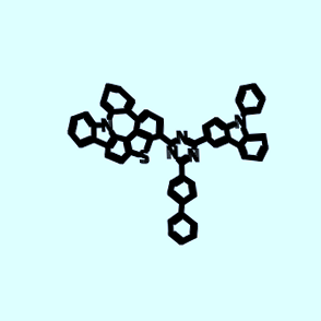 c1ccc(-c2ccc(-c3nc(-c4ccc5c(c4)c4ccccc4n5-c4ccccc4)nc(-c4ccc5c6ccccc6n6c7ccccc7c7ccc8sc4c5c8c76)n3)cc2)cc1